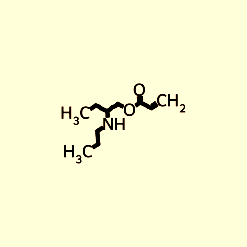 C=CC(=O)OCC(CC)NCCC